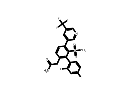 NC(=O)Cc1ccc(-c2cncc(C(F)(F)F)c2)c(S(N)(=O)=O)c1-c1ccc(F)cc1F